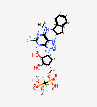 CN(c1nc(Cl)nc2c1nnn2[C@@H]1C[C@H](COP(=O)(O)C(F)(F)P(=O)(O)O)[C@@H](O)[C@H]1O)[C@H]1CCc2ccccc21